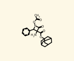 CC(=O)ON1C(=O)C(N)(C(=O)OC23CC4CC(CC(C4)C2)C3)C1c1ccccc1